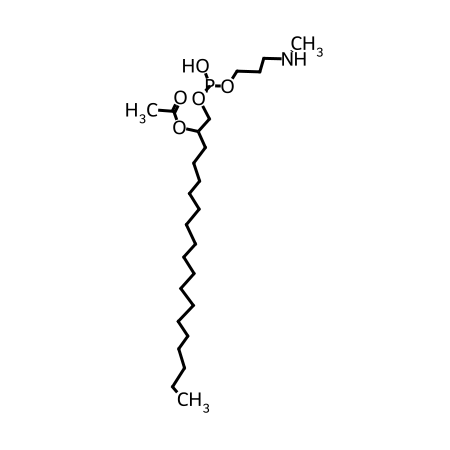 CCCCCCCCCCCCCCCCCC(COP(O)OCCCNC)OC(C)=O